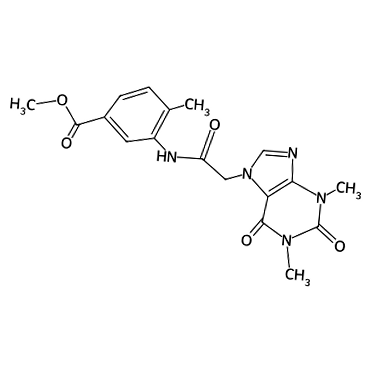 COC(=O)c1ccc(C)c(NC(=O)Cn2cnc3c2c(=O)n(C)c(=O)n3C)c1